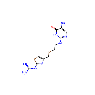 N=C(N)Nc1nc(CSCCNc2ncc(N)c(=O)[nH]2)cs1